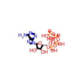 Nc1ncnc2c1ncn2[C@@H]1O[C@H](COP(=O)(O)OP(=O)(O)OP(=O)(O)OP(=O)(O)O)C(O)[C@@H]1O